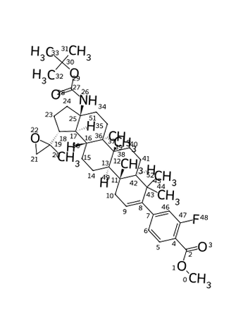 COC(=O)c1ccc(C2=CC[C@]3(C)[C@H]4CC[C@@H]5[C@H]6[C@H](C7(C)CO7)CC[C@]6(NC(=O)OC(C)(C)C)CC[C@@]5(C)[C@]4(C)CC[C@H]3C2(C)C)cc1F